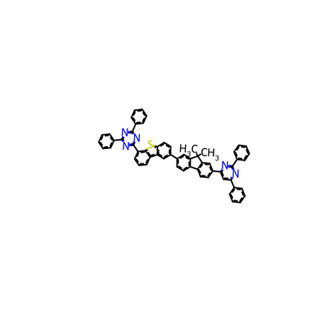 CC1(C)c2cc(-c3ccc4sc5c(-c6nc(-c7ccccc7)nc(-c7ccccc7)n6)cccc5c4c3)ccc2-c2ccc(-c3cc(-c4ccccc4)nc(-c4ccccc4)n3)cc21